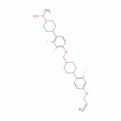 C=CCOc1ccc(C2CCC(COc3ccc(C4CCC(C(C)O)CC4)c(F)c3F)CC2)c(F)c1